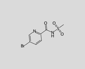 CS(=O)(=O)NC(=O)c1ccc(Br)cn1